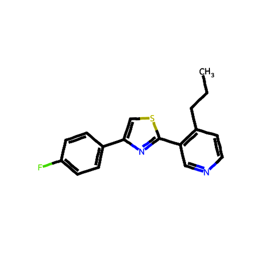 CCCc1ccncc1-c1nc(-c2ccc(F)cc2)cs1